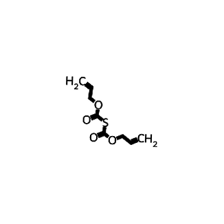 C=CCOC(=O)SC(=O)OCC=C